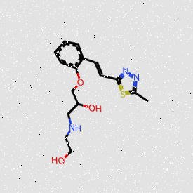 Cc1nnc(C=Cc2ccccc2OCC(O)CNCCO)s1